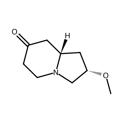 CO[C@H]1C[C@H]2CC(=O)CCN2C1